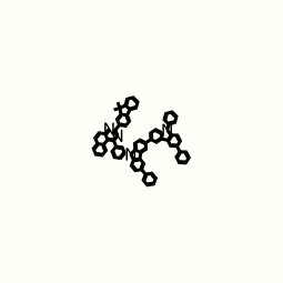 CC1(C)c2ccccc2-c2ccc(-c3nc(-c4cccc(-n5c6ccc(-c7ccccc7)cc6c6cc(-c7ccc8c(c7)c7cc(-c9ccccc9)ccc7n8-c7ccccc7)ccc65)c4)c4c(ccc5ccccc54)n3)cc21